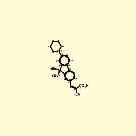 CCCCC1(CCCC)c2cc(/C=C(/C#N)C(=O)O)ccc2-c2ccc(N3CCCCC3)cc21